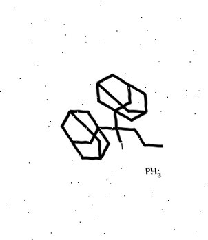 CCCC(I)(C12CC3CC(CC(C3)C1)C2)C12CC3CC(CC(C3)C1)C2.P